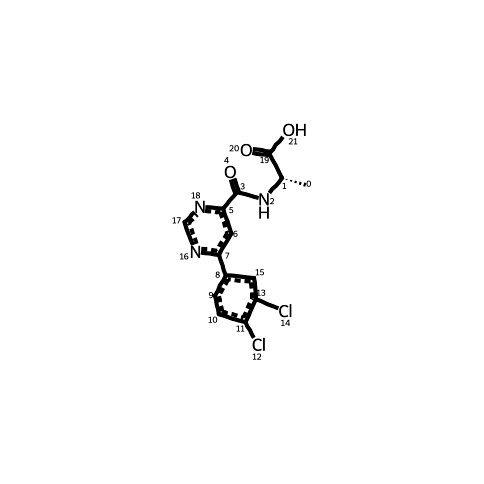 C[C@H](NC(=O)c1cc(-c2ccc(Cl)c(Cl)c2)ncn1)C(=O)O